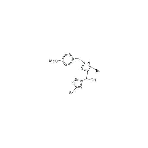 CCc1nn(Cc2ccc(OC)cc2)cc1C(O)c1nc(Br)cs1